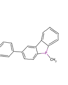 Cp1c2ccccc2c2cc(-c3ccccc3)ccc21